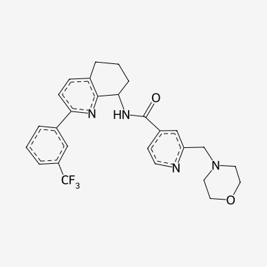 O=C(NC1CCCc2ccc(-c3cccc(C(F)(F)F)c3)nc21)c1ccnc(CN2CCOCC2)c1